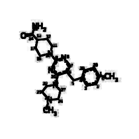 Cc1ccc(Cc2cnc(N3CCC(C(N)=O)CC3)nc2N2CCN(C)CC2)cc1